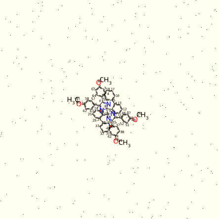 COc1ccc(C2=NC(c3ccccc3-c3ccccc3)(C3(c4ccccc4-c4ccccc4)N=C(c4ccc(OC)cc4)C(c4ccc(OC)cc4)=N3)N=C2c2ccc(OC)cc2)cc1